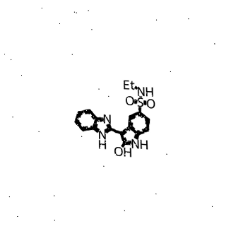 CCNS(=O)(=O)c1ccc2[nH]c(O)c(-c3nc4ccccc4[nH]3)c2c1